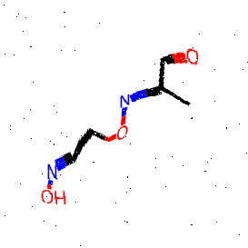 C/C(C=O)=N\OCC=NO